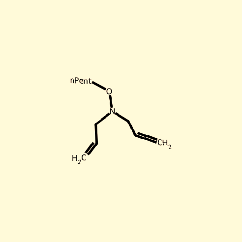 C=CCN(CC=C)OCCCCC